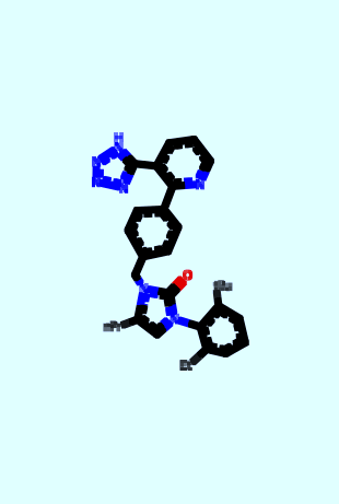 CCCc1cn(-c2c(CC)cccc2C(C)(C)C)c(=O)n1Cc1ccc(-c2ncccc2-c2nnn[nH]2)cc1